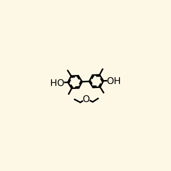 CCOCC.Cc1cc(-c2cc(C)c(O)c(C)c2)cc(C)c1O